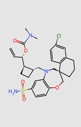 C=C[C@H](OC(=O)N(C)C)[C@@H]1CC[C@H]1CN1C[C@@]2(CCCc3cc(Cl)ccc32)COc2ccc(S(N)(=O)=O)cc21